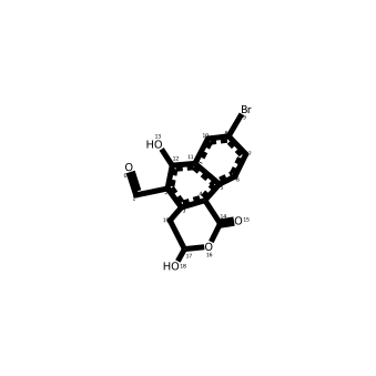 O=Cc1c2c(c3ccc(Br)cc3c1O)C(=O)OC(O)C2